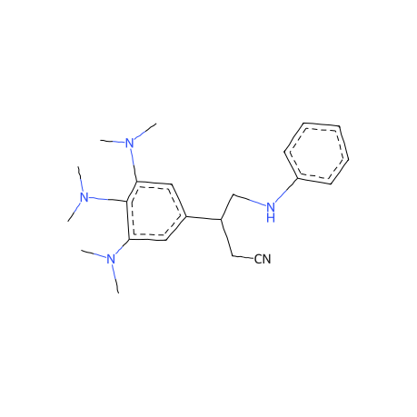 CN(C)c1cc(C(CC#N)CNc2ccccc2)cc(N(C)C)c1N(C)C